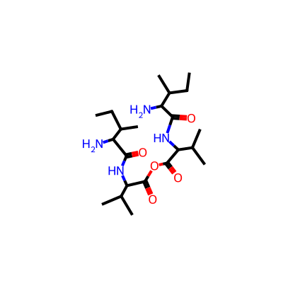 CCC(C)C(N)C(=O)NC(C(=O)OC(=O)C(NC(=O)C(N)C(C)CC)C(C)C)C(C)C